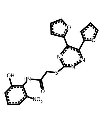 O=C(CSc1nnc(-c2ccco2)c(-c2ccco2)n1)Nc1c(O)cccc1[N+](=O)[O-]